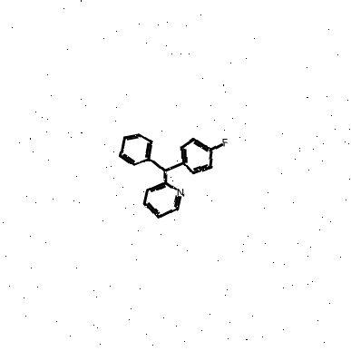 Fc1ccc(C(c2ccccc2)c2ccccn2)cc1